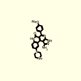 COc1ccc(-c2nc3[nH]nc(N)c3c3c2c(=O)[nH]c2ccc(N4CCNCC4)cc23)cc1